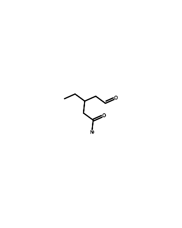 CCC(CC=O)CC([N])=O